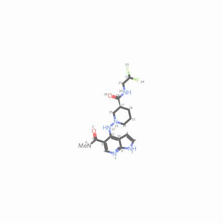 CNC(=O)c1cnc2[nH]ccc2c1NN1CCC[C@H](C(=O)NCC(F)F)C1